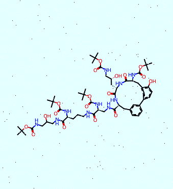 CC(C)(C)OC(=O)NCC(O)CNC(=O)[C@H](CCCNC(=O)[C@H](CNC(=O)[C@@H]1Cc2cccc(c2)-c2ccc(O)c(c2)C[C@H](NC(=O)OC(C)(C)C)C(=O)N[C@@H](C[C@@H](O)CNC(=O)OC(C)(C)C)C(=O)N1)NC(=O)OC(C)(C)C)NC(=O)OC(C)(C)C